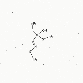 CCCSN=CC(O)(SCCC)SCCC